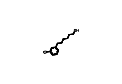 OCCCCCCc1cccc(Cl)c1